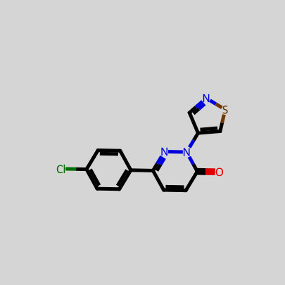 O=c1ccc(-c2ccc(Cl)cc2)nn1-c1cnsc1